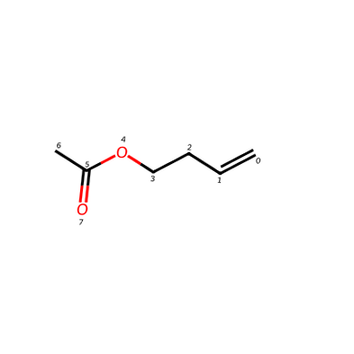 C=CCCOC(C)=O